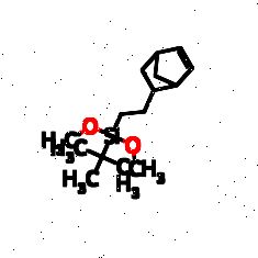 CO[Si](CCC1CC2C=CC1C2)(OC)C(C)(C)C